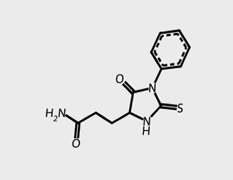 NC(=O)CCC1NC(=S)N(c2ccccc2)C1=O